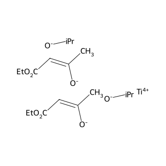 CC(C)[O-].CC(C)[O-].CCOC(=O)/C=C(/C)[O-].CCOC(=O)/C=C(/C)[O-].[Ti+4]